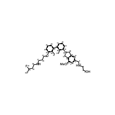 COc1nc(CNCCO)nc2c1CN(c1cccc(-c3cccc(OCCCNCCC(F)F)c3C)c1C)C2